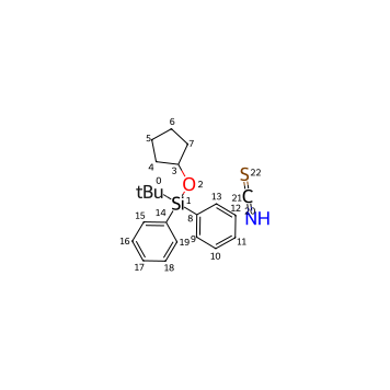 CC(C)(C)[Si](OC1CCCC1)(c1ccccc1)c1ccccc1.N=C=S